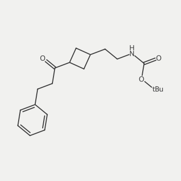 CC(C)(C)OC(=O)NCCC1CC(C(=O)CCc2ccccc2)C1